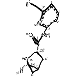 O=C(Nc1cccc(Br)n1)[C@@H]1CC2C[C@H]2N1